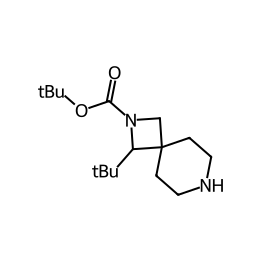 CC(C)(C)OC(=O)N1CC2(CCNCC2)C1C(C)(C)C